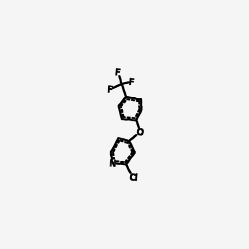 FC(F)(F)c1ccc(Oc2ccnc(Cl)c2)cc1